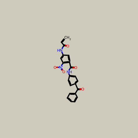 C=CC(=O)Nc1ccc(C(=O)Nc2ccc(C(=O)c3ccccc3)cc2)c([N+](=O)[O-])c1